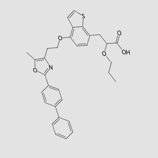 CCCOC(Cc1ccc(OCCc2nc(-c3ccc(-c4ccccc4)cc3)oc2C)c2ccsc12)C(=O)O